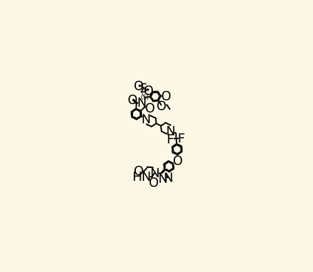 CCOc1cc([C@@H](CS(C)(=O)=O)N2C(=O)c3cccc(N4CCC(C5CCN(CC(F)(F)c6ccc(Oc7ccc8c(N9CCC(=O)NC9=O)nn(C)c8c7)cc6)CC5)CC4)c3C2=O)ccc1OC